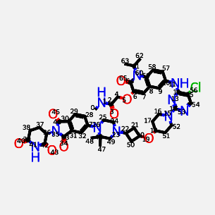 CNC(=O)COc1cc2cc(Nc3nc(N4CCC(OC5CC(N6CCN(c7ccc8c(c7)C(=O)N([C@@H]7CCC(=O)NC7=O)C8=O)C(C)(C)C6)C5)CC4)ncc3Cl)ccc2n(C(C)C)c1=O